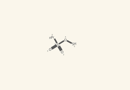 CCCS(=O)(=O)OS